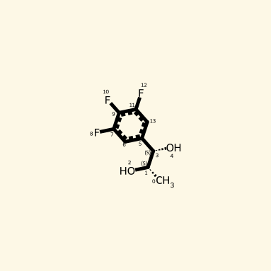 C[C@H](O)[C@@H](O)c1cc(F)c(F)c(F)c1